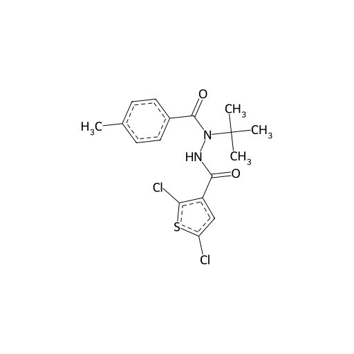 Cc1ccc(C(=O)N(NC(=O)c2cc(Cl)sc2Cl)C(C)(C)C)cc1